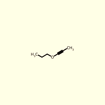 CC#COCCC